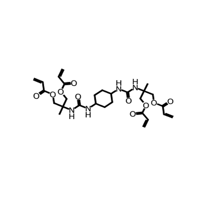 C=CC(=O)OCC(C)(COC(=O)C=C)NC(=O)NC1CCC(NC(=O)NC(C)(COC(=O)C=C)COC(=O)C=C)CC1